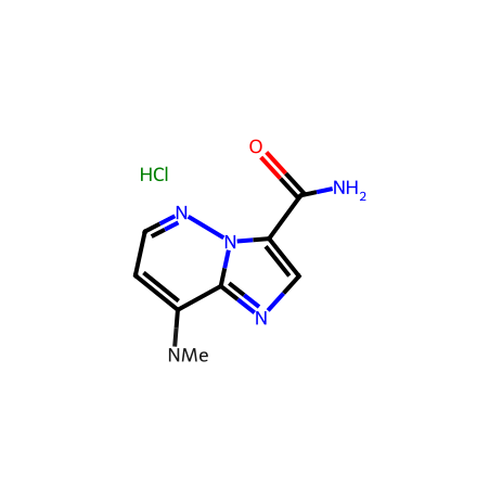 CNc1ccnn2c(C(N)=O)cnc12.Cl